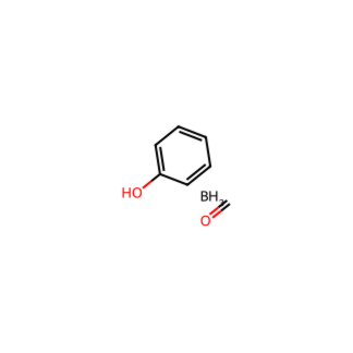 B.C=O.Oc1ccccc1